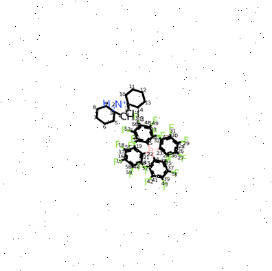 CC1([NH2+]C2(C)CCCCC2)CCCCC1.Fc1c(F)c(F)c([B-](c2c(F)c(F)c(F)c(F)c2F)(c2c(F)c(F)c(F)c(F)c2F)c2c(F)c(F)c(F)c(F)c2F)c(F)c1F